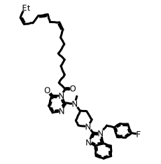 CC/C=C\C/C=C\C/C=C\CCCCCCCC(=O)n1c(N(C)C2CCN(c3nc4ccccc4n3Cc3ccc(F)cc3)CC2)nccc1=O